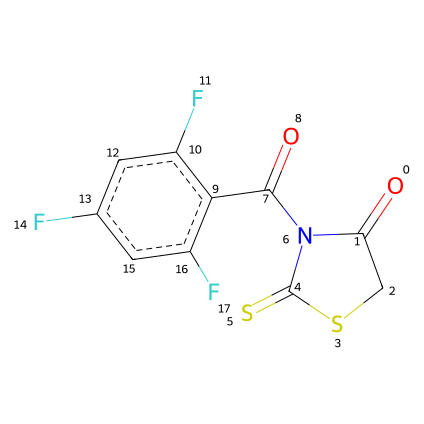 O=C1CSC(=S)N1C(=O)c1c(F)cc(F)cc1F